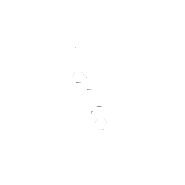 Cc1cc(NC(=O)N2CC=C(c3ncc(C[C@@H](O)CO)cc3F)CC2)ccc1C(F)(F)F